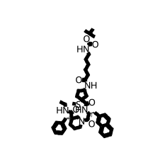 CCNC(=O)[C@]1(Cc2ccccc2)CCCN(C(=O)[C@@H](Cc2ccc3ccccc3c2)NC(=O)C2(SC)CCC(NC(=O)CCCCCNC(=O)OC(C)(C)C)C2)C1